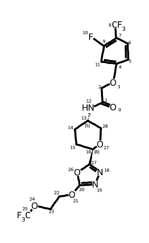 O=C(COc1ccc(C(F)(F)F)c(F)c1)N[C@H]1CC[C@H](c2nnc(OCCOC(F)(F)F)o2)OC1